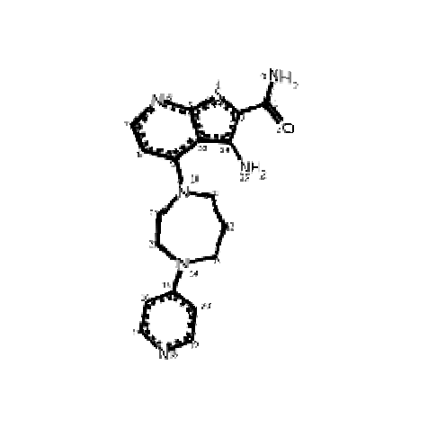 NC(=O)c1sc2nccc(N3CCCN(c4ccncc4)CC3)c2c1N